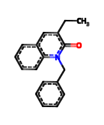 CCc1cc2ccccc2n(Cc2ccccc2)c1=O